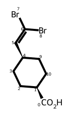 O=C(O)[C@H]1CC[C@@H](C=C(Br)Br)CC1